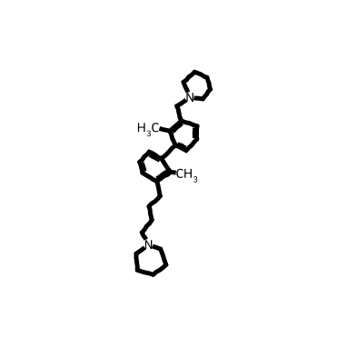 Cc1c(CCCCN2CCCCC2)cccc1-c1cccc(CN2CCCCC2)c1C